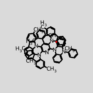 Cc1ccc2c3ccc(C)cc3n(-c3nc(N4c5ccccc5N(c5ccccc5)c5ccccc54)c(-n4c5cc(C)ccc5c5ccc(C)cc54)c(-c4c(C)cccc4C)c3-n3c4cc(C)ccc4c4ccc(C)cc43)c2c1